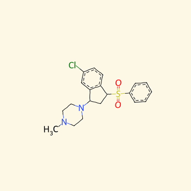 CN1CCN(C2CC(S(=O)(=O)c3ccccc3)c3ccc(Cl)cc32)CC1